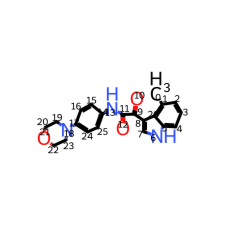 Cc1cccc2[nH]cc(C(=O)C(=O)Nc3ccc(N4CCOCC4)cc3)c12